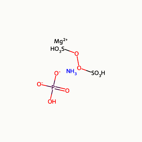 N.O=P([O-])([O-])O.O=S(=O)(O)OOS(=O)(=O)O.[Mg+2]